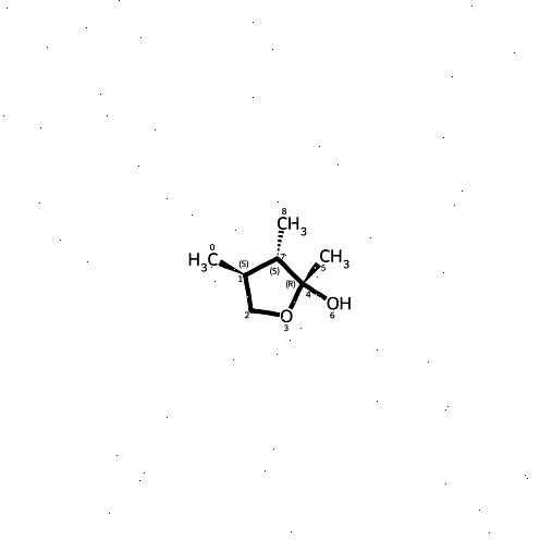 C[C@@H]1CO[C@@](C)(O)[C@H]1C